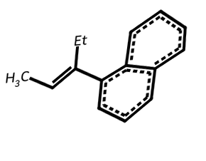 C/C=C(\CC)c1cccc2ccccc12